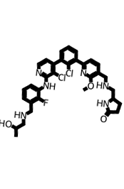 COc1nc(-c2cccc(-c3ccnc(Nc4cccc(CNCC(C)O)c4F)c3Cl)c2Cl)ccc1CNCC1CCC(=O)N1